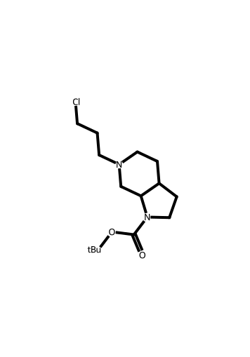 CC(C)(C)OC(=O)N1CCC2CCN(CCCCl)CC21